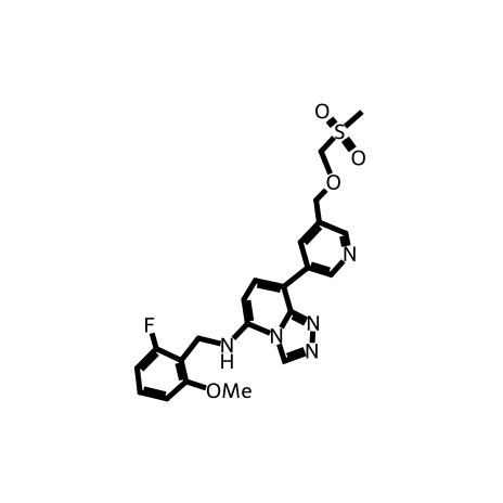 COc1cccc(F)c1CNc1ccc(-c2cncc(COCS(C)(=O)=O)c2)c2nncn12